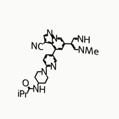 CN/C=C(\C=N)c1cc(-c2ccc(N3CCC(NC(=O)C(C)C)CC3)nc2)c2c(C#N)cnn2c1